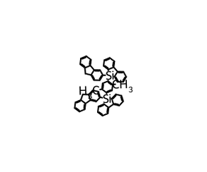 Cc1cc([Si]2(c3ccc4c(c3)-c3ccccc3C4)c3ccccc3-c3ccccc32)c(C)cc1[Si]1(c2ccc3c(c2)-c2ccccc2C3)c2ccccc2-c2ccccc21